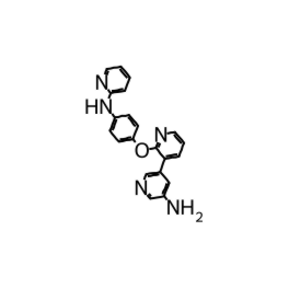 Nc1cncc(-c2cccnc2Oc2ccc(Nc3ccccn3)cc2)c1